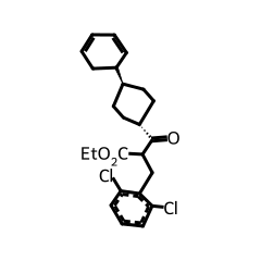 CCOC(=O)C(Cc1c(Cl)cccc1Cl)C(=O)[C@H]1CC[C@H](C2C=CC=CC2)CC1